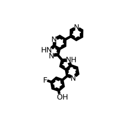 Oc1cc(F)cc(-c2nccc3[nH]c(-c4n[nH]c5ncc(-c6cccnc6)cc45)cc23)c1